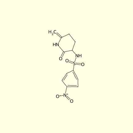 C=C1CCC(NS(=O)(=O)c2ccc([N+](=O)[O-])cc2)C(=O)N1